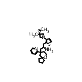 COC1(C)CN(c2ccsc2CC(N)CC2(c3ccccn3)CCOC3(CCCC3)C2)C1